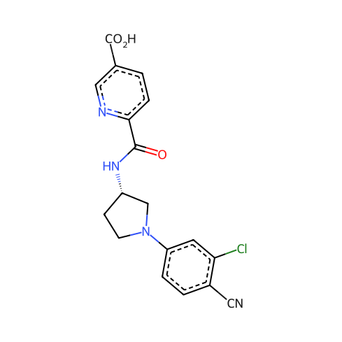 N#Cc1ccc(N2CC[C@H](NC(=O)c3ccc(C(=O)O)cn3)C2)cc1Cl